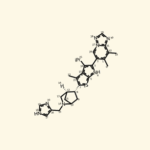 Cc1c(-c2[nH]c3sc([C@@H]4CC5C[C@H]4CN5Cc4c[nH]cn4)c(C)c3c2C(C)C)cn2ncnc2c1C